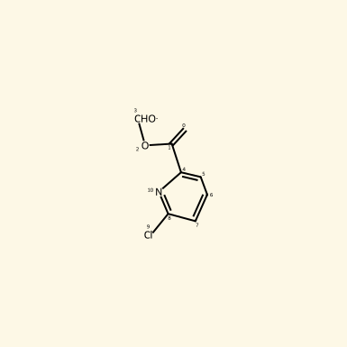 C=C(O[C]=O)c1cccc(Cl)n1